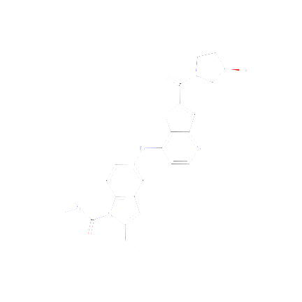 CNC(=O)n1c(C)cc2cc(Nc3ccnc4cc(C(=O)N5CC[C@@H](O)C5)sc34)ccc21